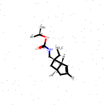 CCC1=C[C@@H]2[C@@H](C1)C[C@]2(CNC(=O)O[C@H](OC(C)=O)C(C)C)CC(=O)O